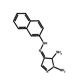 NC1C(=NNc2ccc3ccccc3c2)C=NN1N